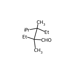 CCC(C)(C=O)C(C)(CC)C(C)C